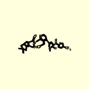 Cn1cc(-c2ccnc(N3CCn4c(cc5c4CC(C)(C)C5)C3=O)c2CO)cc(Nc2ccc(C(F)(F)F)cn2)c1=O